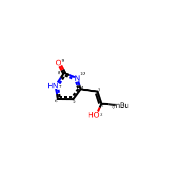 CCCCC(O)=Cc1cc[nH]c(=O)n1